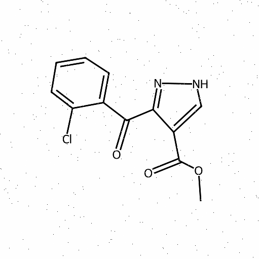 COC(=O)c1c[nH]nc1C(=O)c1ccccc1Cl